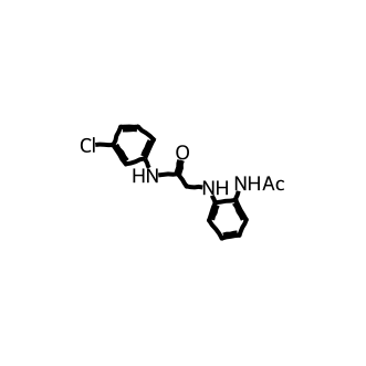 CC(=O)Nc1ccccc1NCC(=O)Nc1cccc(Cl)c1